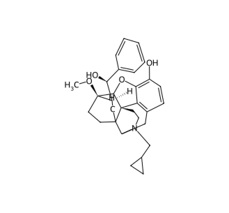 CO[C@]12CCC3(C[C@@H]1[C@@H](O)c1ccccc1)C1Cc4ccc(O)c5c4[C@@]3(CCN1CC1CC1)[C@@H]2O5